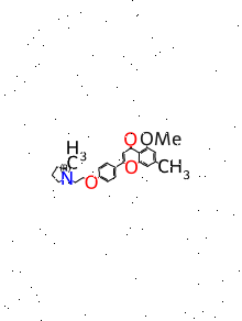 COc1cc(C)cc2oc(-c3ccc(OCCN4CCC[C@H]4C)cc3)cc(=O)c12